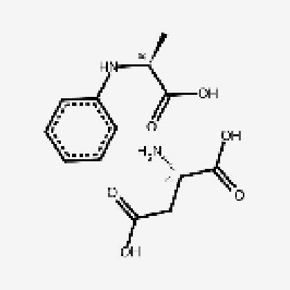 C[C@H](Nc1ccccc1)C(=O)O.N[C@@H](CC(=O)O)C(=O)O